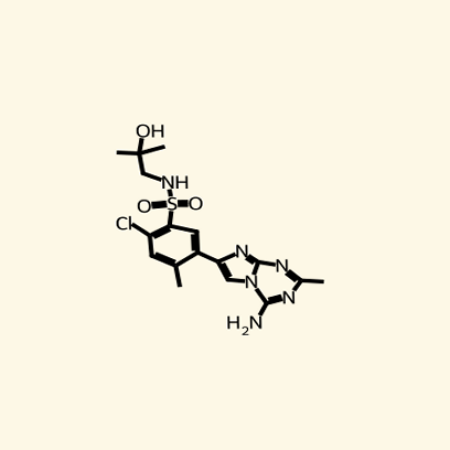 Cc1nc(N)n2cc(-c3cc(S(=O)(=O)NCC(C)(C)O)c(Cl)cc3C)nc2n1